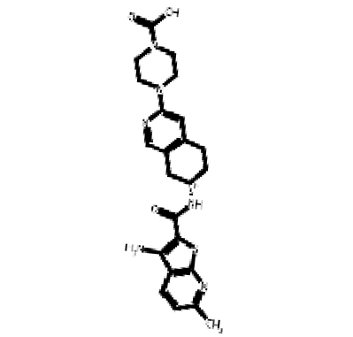 Cc1ccc2c(N)c(C(=O)N[C@H]3CCc4cc(N5CCN(C(=O)O)CC5)ncc4C3)sc2n1